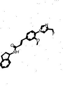 COc1cc(C=CC(=O)NC2CCc3ccccc32)ccc1-n1cnc(CF)c1